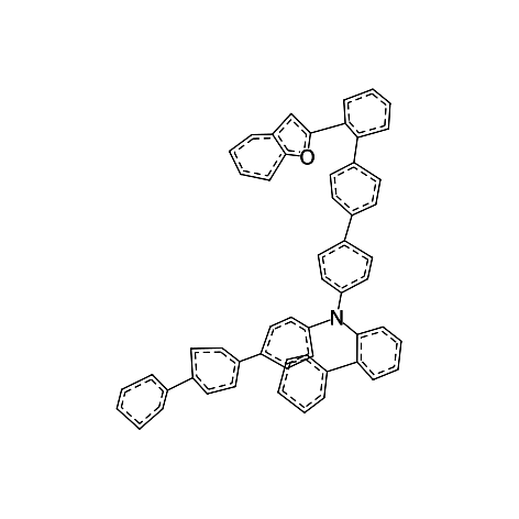 c1ccc(-c2ccc(-c3ccc(N(c4ccc(-c5ccc(-c6ccccc6-c6cc7ccccc7o6)cc5)cc4)c4ccccc4-c4ccccc4)cc3)cc2)cc1